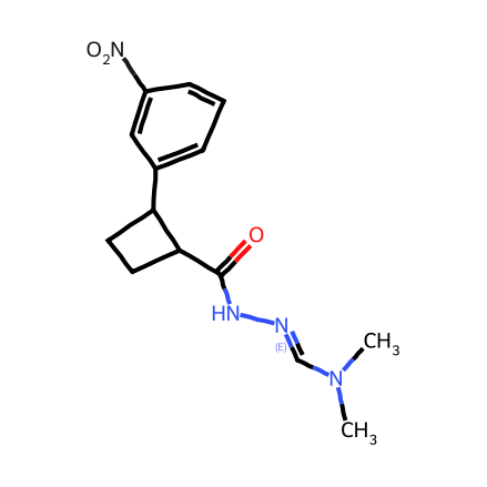 CN(C)/C=N/NC(=O)C1CCC1c1cccc([N+](=O)[O-])c1